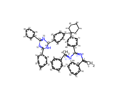 C=C(/N=C(\N=C(/C)c1ccccc1)c1ccc(C2(c3ccc(C4N=C(c5ccccc5)N=C(c5ccccc5)N4)cc3)CCCCC2)cc1)c1ccccc1